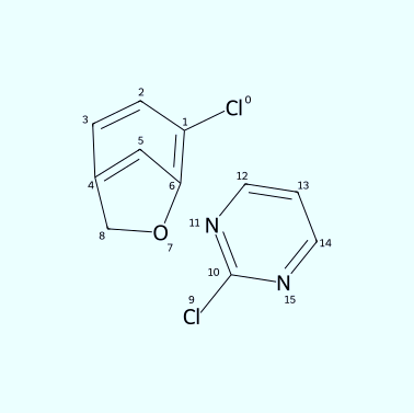 Clc1ccc2cc1OC2.Clc1ncccn1